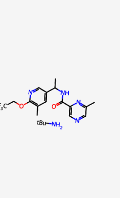 CC(C)(C)N.Cc1cncc(C(=O)NC(C)c2cnc(OCC(F)(F)F)c(C)c2)n1